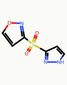 O=S(=O)(c1cc[nH]n1)c1ccon1